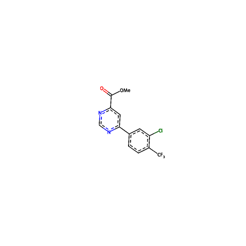 COC(=O)c1cc(-c2ccc(C(F)(F)F)c(Cl)c2)ncn1